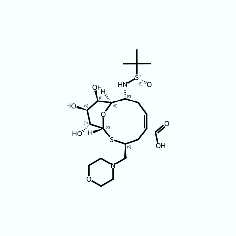 CC(C)(C)[S@+]([O-])N[C@@H]1CC=CC[C@@H](CN2CCOCC2)S[C@H]2O[C@H]1[C@H](O)[C@H](O)[C@H]2O.O=CO